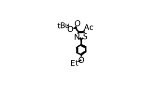 CCOc1ccc(-c2nc(C(=O)OC(C)(C)C)c(C(C)=O)s2)cc1